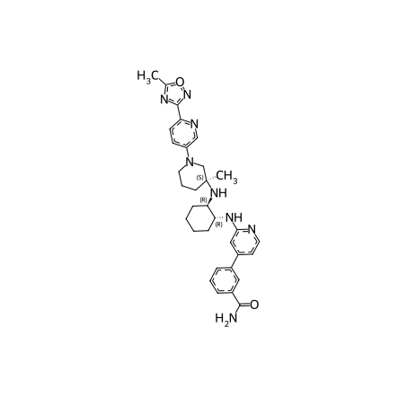 Cc1nc(-c2ccc(N3CCC[C@](C)(N[C@@H]4CCCC[C@H]4Nc4cc(-c5cccc(C(N)=O)c5)ccn4)C3)cn2)no1